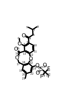 COc1c(C(=O)CC(C)C)ccc2c1C(=O)OCc1cc(C)cc(OS(=O)(=O)C(F)(F)F)c1O2